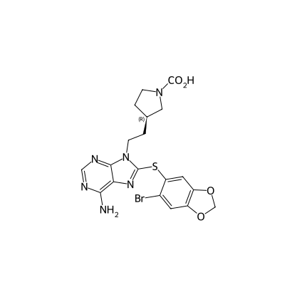 Nc1ncnc2c1nc(Sc1cc3c(cc1Br)OCO3)n2CC[C@H]1CCN(C(=O)O)C1